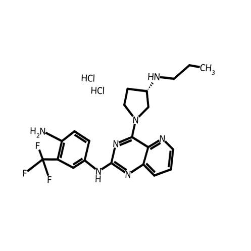 CCCN[C@H]1CCN(c2nc(Nc3ccc(N)c(C(F)(F)F)c3)nc3cccnc23)C1.Cl.Cl